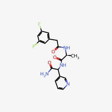 C[C@H](NC(=O)Cc1cc(F)cc(F)c1)C(=O)NC(C(N)=O)c1cccnc1